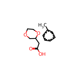 Cc1ccccc1.O=C(O)CC1COCCO1